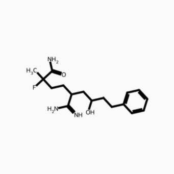 CC(F)(CCC(CC(O)[CH]Cc1ccccc1)C(=N)N)C(N)=O